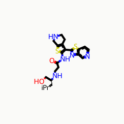 CC(C)C[C@H](CO)NCCC(=O)Nc1sc2c(c1-c1nc3cnccc3s1)CCNC2